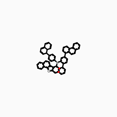 C1=CC2=CC=CC(c3ccc(N(c4cc(-c5cccc6c5ccc5ccccc56)ccc4-c4ccccc4)c4cccc5oc6c7ccccc7ccc6c45)cc3)C2C=C1